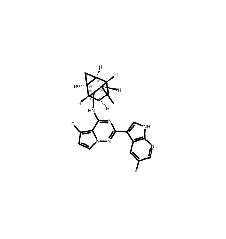 C[C@H]1[C@H]2CC[C@H]([C@H]3C[C@H]32)[C@@H]1Nc1nc(-c2c[nH]c3ncc(F)cc23)nn2ccc(F)c12